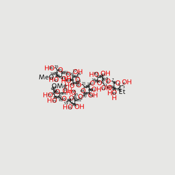 CC[C@@H]1C(CO)O[C@H](COC[C@@H]2C(CO)O[C@H](COC[C@@H]3C(CO[C@H]4OC(CO)[C@@H](COC[C@H]5OC(CO)[C@@H](COC)[C@@H](O)C5O)[C@@H](O)C4O)O[C@H](COC[C@@H]4C(CO)O[C@H](COC[C@@H]5C(CO)O[C@H](COC)C(O)[C@@H]5O)C(O)[C@@H]4O)C(O)[C@@H]3O)C(O)[C@@H]2O)C(O)[C@@H]1O